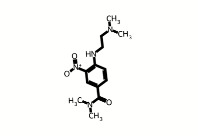 CN(C)CCNc1ccc(C(=O)N(C)C)cc1[N+](=O)[O-]